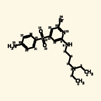 CCN(CC)CCCNc1cc(S(=O)(=O)c2ccc(N)cc2)cc(Br)n1